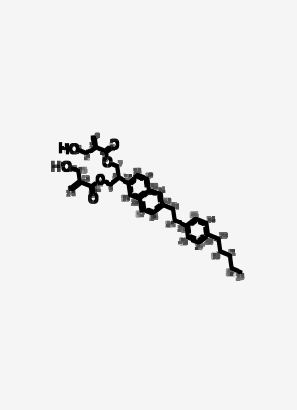 C=C(CO)C(=O)OCC(COC(=O)C(=C)CO)c1ccc2cc(CCc3ccc(CCCCC)cc3)ccc2c1